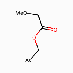 COCC(=O)OCC(C)=O